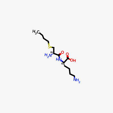 CCCCSC[C@@H](N)C(=O)N[C@@H](CCCCN)C(=O)O